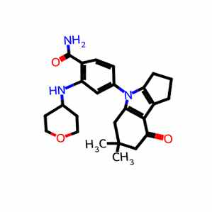 CC1(C)CC(=O)c2c3c(n(-c4ccc(C(N)=O)c(NC5CCOCC5)c4)c2C1)CCC3